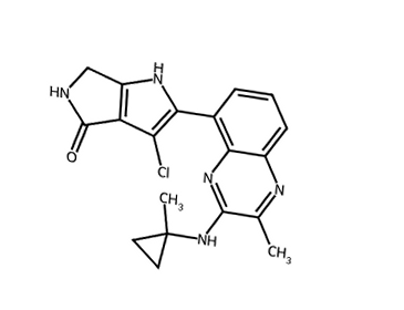 Cc1nc2cccc(-c3[nH]c4c(c3Cl)C(=O)NC4)c2nc1NC1(C)CC1